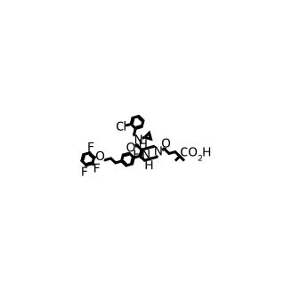 CC(C)(CCC(=O)N1C[C@H]2CC(c3ccc(CCCOc4c(F)ccc(F)c4F)cc3)=C(C(=O)N(Cc3ccccc3Cl)C3CC3)[C@@H](C1)N2)C(=O)O